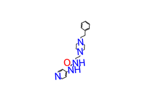 O=C(NCCN1CCN(CCc2ccccc2)CC1)Nc1ccncc1